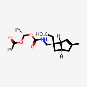 CC1=C[C@@H]2[C@@H](C1)C[C@]2(CNC(=O)O[C@H](OC(=O)C(C)C)C(C)C)CC(=O)O